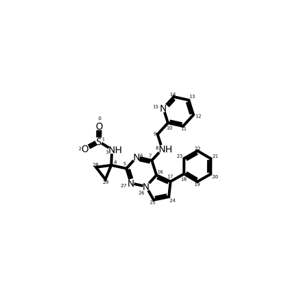 O=[SH](=O)NC1(c2nc(NCc3ccccn3)c3c(-c4ccccc4)ccn3n2)CC1